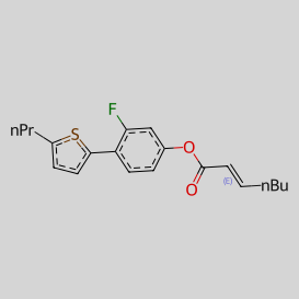 CCCC/C=C/C(=O)Oc1ccc(-c2ccc(CCC)s2)c(F)c1